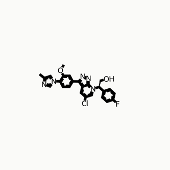 COc1cc(-c2nnc3n([C@@H](CO)c4ccc(F)cc4)cc(Cl)cc2-3)ccc1-n1cnc(C)c1